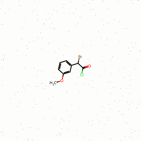 COc1cccc(C(Br)C(=O)Cl)c1